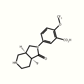 O=C(O)c1cc(N2C[C@@H]3CNCC[C@]3(F)C2=O)ccc1OC(F)(F)F